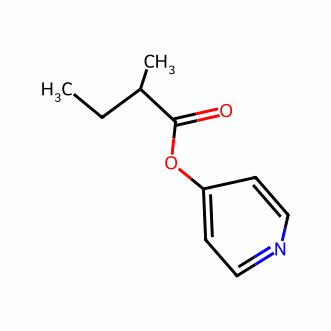 CCC(C)C(=O)Oc1ccncc1